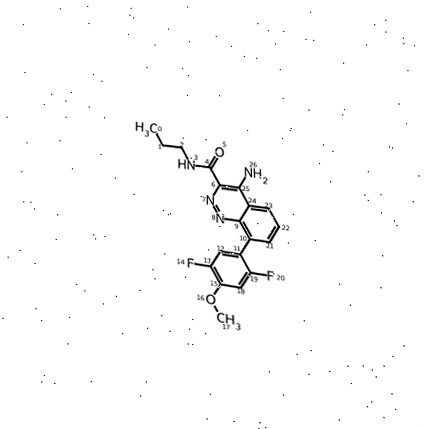 CCCNC(=O)c1nnc2c(-c3cc(F)c(OC)cc3F)cccc2c1N